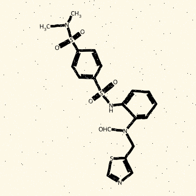 CN(C)S(=O)(=O)c1ccc(S(=O)(=O)Nc2ccccc2N(C=O)Cc2cncs2)cc1